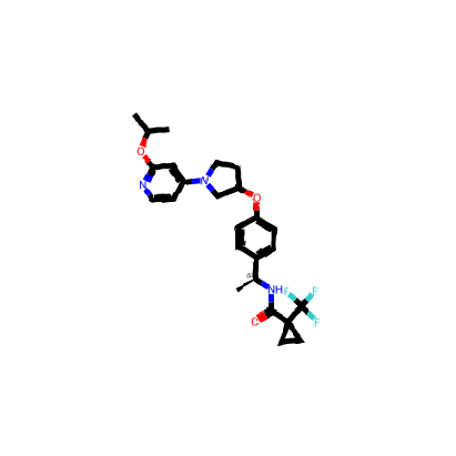 CC(C)Oc1cc(N2CCC(Oc3ccc([C@H](C)NC(=O)C4(C(F)(F)F)CC4)cc3)C2)ccn1